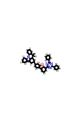 CC1(C)c2ccccc2-n2c3ccccc3c3cc(-c4ccc5c(c4)oc4c(-c6nc(-c7ccccc7)nc(-c7ccccc7)n6)cccc45)cc1c32